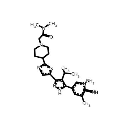 Cc1cc(-c2[nH]nc(-c3cnc(C4CCN(CC(=O)N(C)C)CC4)s3)c2C(C)C)cn(N)c1=N